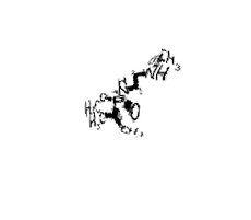 CNCCNP(=O)(OC)C(C)C